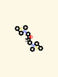 C[Si]1(C)c2ccc(N(c3ccccc3)c3cccc4c3sc3ccccc34)cc2-c2oc3ccc(N(c4ccccc4)c4cccc5c4sc4ccccc45)cc3c21